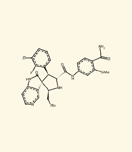 COc1cc(NC(=O)[C@@H]2N[C@@H](CC(C)(C)C)[C@@]3(C(=O)Nc4ccncc43)[C@H]2c2cccc(Cl)c2F)ccc1C(N)=O